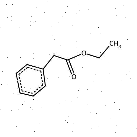 CCOC(=O)[C]c1ccccc1